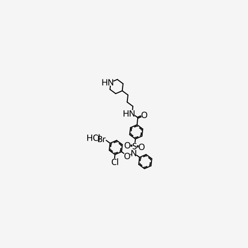 Cl.O=C(NCCCC1CCNCC1)c1ccc(S(=O)(=O)N(Oc2ccc(Br)cc2Cl)c2ccccc2)cc1